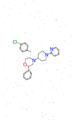 Clc1ccc(C[C@H]2COC(c3ccccc3)CN2C2CCN(c3ccccn3)CC2)cc1